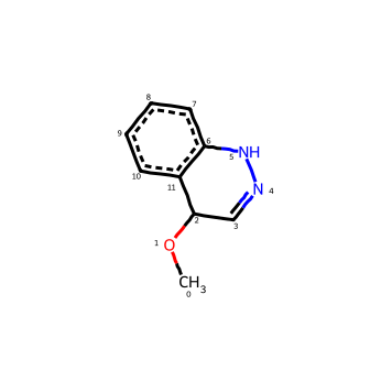 COC1C=NNc2ccccc21